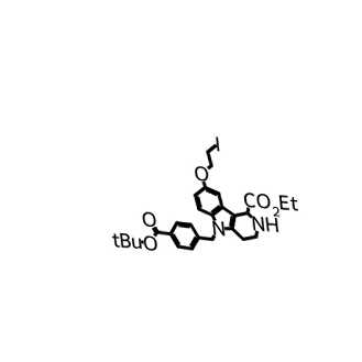 CCOC(=O)C1NCCc2c1c1cc(OCCI)ccc1n2Cc1ccc(C(=O)OC(C)(C)C)cc1